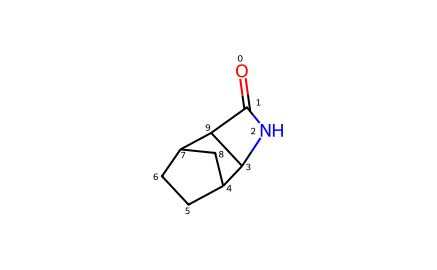 O=C1NC2C3CCC(C3)C12